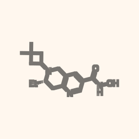 CC[C@H]1Cc2ncc(C(=O)NO)cc2CN1C1CC(C)(C)C1